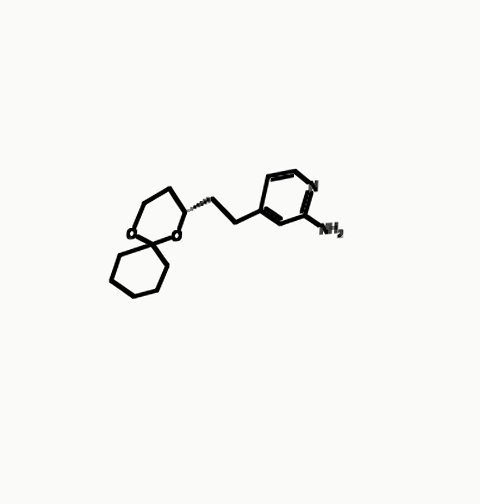 Nc1cc(CC[C@H]2CCOC3(CCCCC3)O2)ccn1